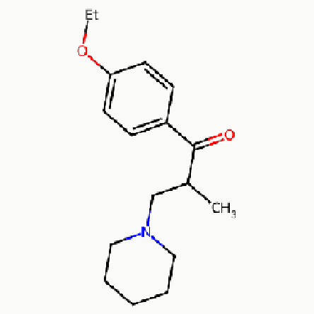 CCOc1ccc(C(=O)C(C)CN2CCCCC2)cc1